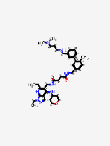 CCc1nc2c(cnn2CC)c(NC2CCOCC2)c1CNC(=O)CCC(=O)NCc1ccc(C)c(-c2cccc(CNCCCN(C)C)c2)c1